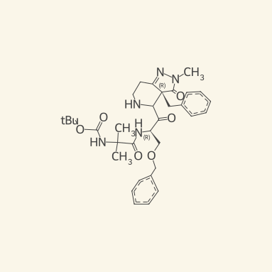 CN1N=C2CCNC(C(=O)[C@@H](COCc3ccccc3)NC(=O)C(C)(C)NC(=O)OC(C)(C)C)[C@@]2(Cc2ccccc2)C1=O